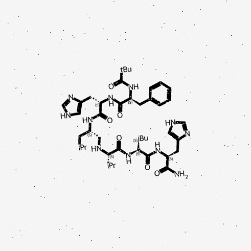 CC[C@H](C)[C@H](NC(=O)[C@@H](NC[C@H](CC(C)C)NC(=O)[C@H](Cc1c[nH]cn1)NC(=O)[C@H](Cc1ccccc1)NC(=O)C(C)(C)C)C(C)C)C(=O)N[C@@H](Cc1c[nH]cn1)C(N)=O